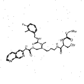 Cc1c(F)cccc1CNC(=O)N(C)[C@@H](CCCNC(=O)[C@H](CO)NC(=O)OC(C)(C)C)COC(=O)Nc1cc2cccnc2cn1